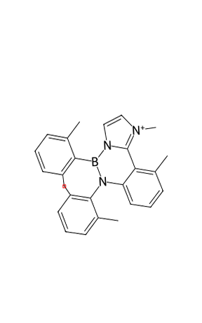 Cc1cccc(C)c1B1N(c2c(C)cccc2C)c2cccc(C)c2-c2n1cc[n+]2C